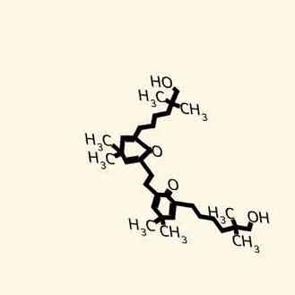 CC1(C)C=C(CCCCC(C)(C)CO)C(=O)C(CCC2=CC(C)(C)C=C(CCCCC(C)(C)CO)C2=O)=C1